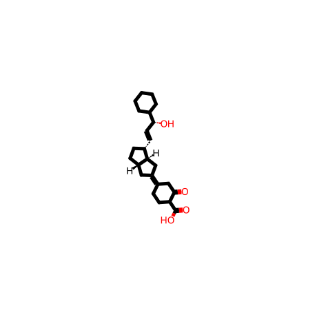 O=C(O)C1CCC(=C2C[C@@H]3CC[C@H](/C=C/[C@@H](O)C4CCCCC4)[C@H]3C2)CC1=O